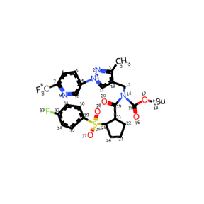 Cc1nn(-c2ccc(C(F)(F)F)nc2)cc1CN(C(=O)OC(C)(C)C)C(=O)C1CCCC1S(=O)(=O)c1ccc(F)cc1